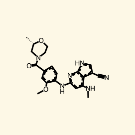 CNc1cc(Nc2ccc(C(=O)N3CCO[C@@H](C)C3)cc2OC)nc2[nH]cc(C#N)c12